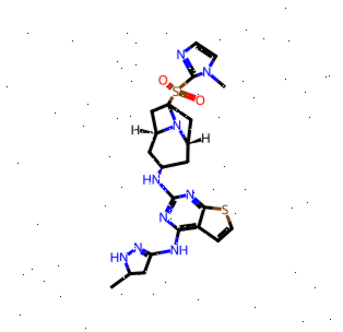 CC1CC(Nc2nc(N[C@H]3C[C@@H]4CC5(S(=O)(=O)c6nccn6C)C[C@H](C3)N45)nc3sccc23)=NN1